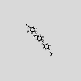 CCCCC1CCC(COc2ccc(C(=O)Oc3ccc(C#N)c(F)c3)cc2)CC1